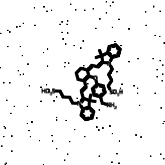 CC1(C)C(=CC=C2CCCC(C=CC3=[N+](CCCCS(=O)(=O)O)c4ccccc4C3(C)C)=C2Oc2ccc(CN)cc2)N(CCCCS(=O)(=O)O)c2ccccc21